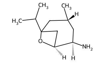 CC(C)C12C[C@H](C)C[C@@H](N)[C@H](C1)O2